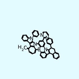 C=C1C=CC=C2B3c4c(cc(-c5ncccn5)cc4-n4c2c1c1c2ccccc2n(-c2ccccc2)c14)-n1c2c(c4cccc3c41)-c1ccccc1CC2c1ccccc1